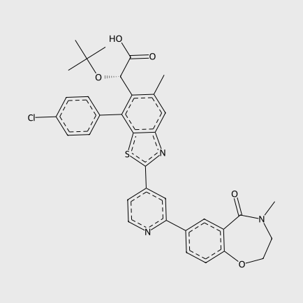 Cc1cc2nc(-c3ccnc(-c4ccc5c(c4)C(=O)N(C)CCO5)c3)sc2c(-c2ccc(Cl)cc2)c1[C@H](OC(C)(C)C)C(=O)O